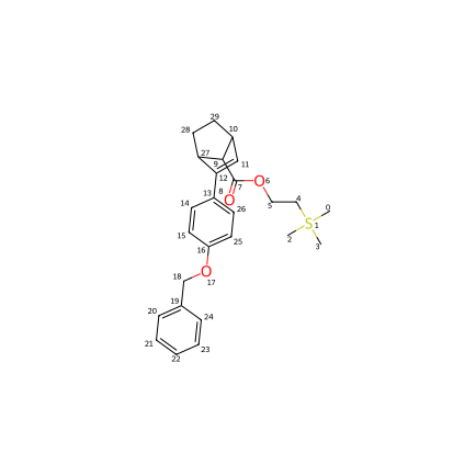 CS(C)(C)CCOC(=O)C1C2C=C(c3ccc(OCc4ccccc4)cc3)C1CC2